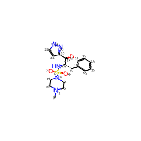 CN1CCN(S(=O)(=O)N[C@@H](Cc2ccccc2)C(=O)C2=N[N]C=C2)CC1